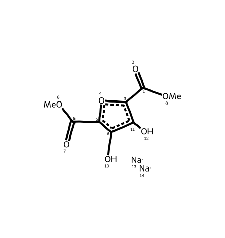 COC(=O)c1oc(C(=O)OC)c(O)c1O.[Na].[Na]